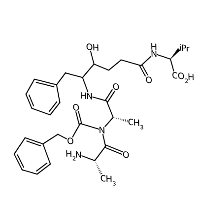 CC(C)[C@H](NC(=O)CCC(O)C(Cc1ccccc1)NC(=O)[C@H](C)N(C(=O)OCc1ccccc1)C(=O)[C@H](C)N)C(=O)O